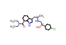 CCN(CC)C(=O)c1cccc2c(C[C@@H](C)NC[C@H](O)c3ccc(Cl)cc3)c[nH]c12